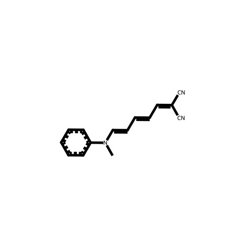 CN(/C=C/C=C/C=C(C#N)C#N)c1ccccc1